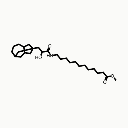 COC(=O)CCCCCCCCCCCNC(=O)C(O)CC12CC3CCCC(C1)C(C3)C2